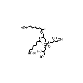 CCCCCCCCCCCCCCCC(=O)OCC(COP(=O)(OCC(O)CO)OCC(O)CO)OC(=O)CCCCCCCCCCCCCCC